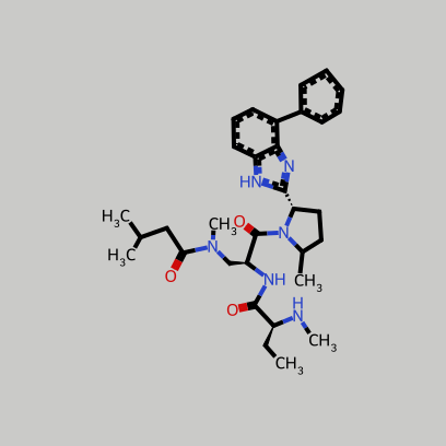 CC[C@H](NC)C(=O)N[C@@H](CN(C)C(=O)CC(C)C)C(=O)N1C(C)CC[C@H]1c1nc2c(-c3ccccc3)cccc2[nH]1